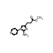 COC(=O)CCc1cn(-c2ccncc2)c(N)n1